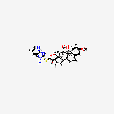 C[C@@H]1CC2C3CCC4=CC(=O)C=CC4(C)C3[C@@H](O)CC2(C)[C@@]1(O)C(=O)CSc1nc2ncccc2[nH]1